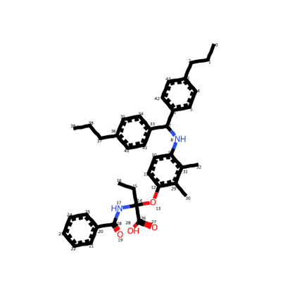 CCCc1ccc(C(Nc2ccc(OC(CC)(NC(=O)c3ccccc3)C(=O)O)c(C)c2C)c2ccc(CCC)cc2)cc1